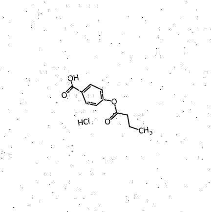 CCCC(=O)Oc1ccc(C(=O)O)cc1.Cl